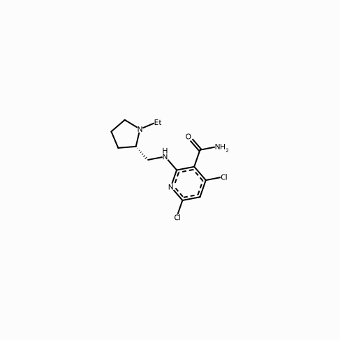 CCN1CCC[C@H]1CNc1nc(Cl)cc(Cl)c1C(N)=O